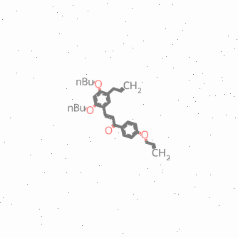 C=CCOc1ccc(C(=O)C=Cc2cc(CC=C)c(OCCCC)cc2OCCCC)cc1